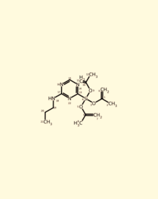 C=C(C)O[Si](OC(=C)C)(OC(=C)C)c1ncnc(NCCC)n1